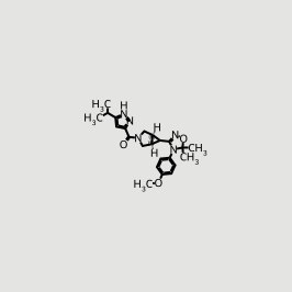 COc1ccc(N2C(C3[C@H]4CN(C(=O)c5cc(C(C)C)[nH]n5)C[C@@H]34)=NOC2(C)C)cc1